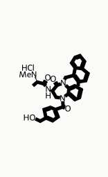 CN[C@@H](C)C(=O)N[C@H]1CN(C(=O)c2ccc(CO)cc2)c2ccccc2N(Cc2c(C)ccc3ccccc23)C1=O.Cl